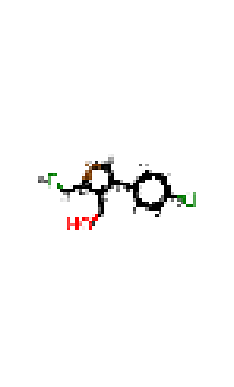 OCc1c(-c2ccc(Cl)cc2)csc1CF